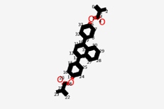 C=C(C)C(=O)Oc1ccc(-c2ccc(-c3ccc(OC(=O)C(=C)C)cc3)c3ccccc23)cc1